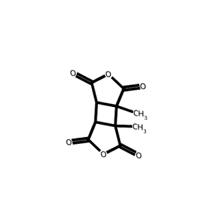 CC12C(=O)OC(=O)C1C1C(=O)OC(=O)C12C